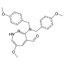 COC1=CNN=C(N(Cc2ccc(OC)cc2)Cc2ccc(OC)cc2)C(C=O)=C1